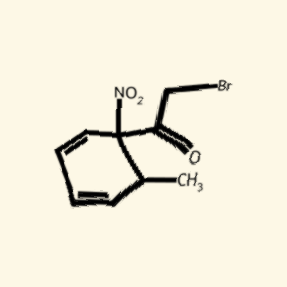 CC1C=CC=CC1(C(=O)CBr)[N+](=O)[O-]